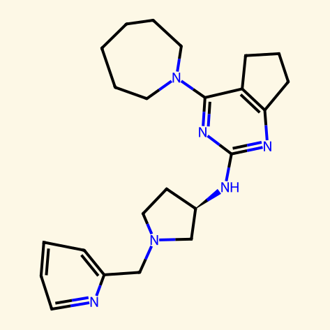 c1ccc(CN2CC[C@@H](Nc3nc4c(c(N5CCCCCC5)n3)CCC4)C2)nc1